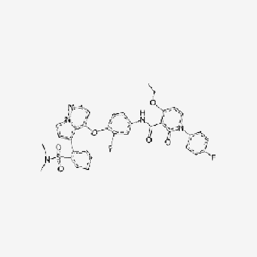 CCOc1ccn(-c2ccc(F)cc2)c(=O)c1C(=O)Nc1ccc(Oc2ccnn3ccc(-c4ccccc4S(=O)(=O)N(C)C)c23)c(F)c1